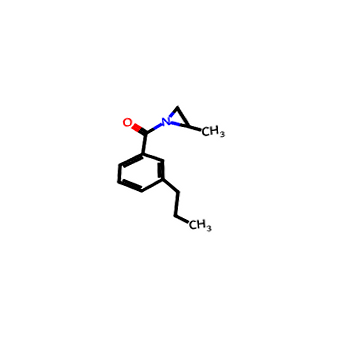 CCCc1cccc(C(=O)N2CC2C)c1